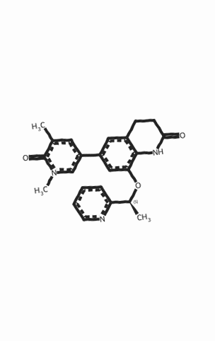 Cc1cc(-c2cc3c(c(O[C@@H](C)c4ccccn4)c2)NC(=O)CC3)cn(C)c1=O